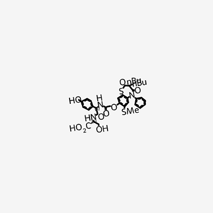 CCCCC1(CCCC)C(=O)Sc2cc(OCC(=O)N[C@@H](C(=O)N[C@@H](CO)C(=O)O)c3ccc(O)cc3)c(SC)cc2N(c2ccccc2)C1=O